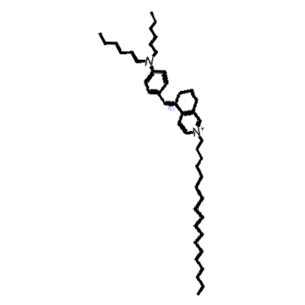 CCCCCCCCCCCCCCCCCC[n+]1ccc2c(c1)CCC/C2=C\c1ccc(N(CCCCCC)CCCCCC)cc1